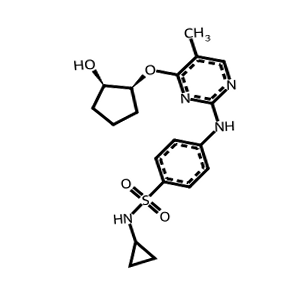 Cc1cnc(Nc2ccc(S(=O)(=O)NC3CC3)cc2)nc1O[C@H]1CCC[C@H]1O